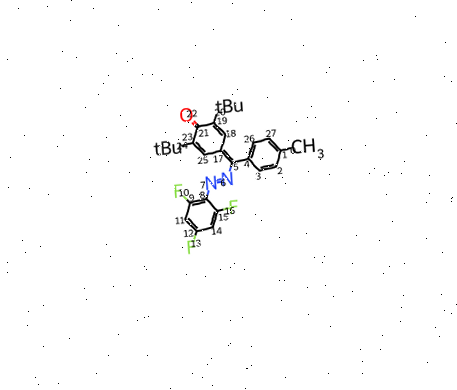 Cc1ccc(C(N=Nc2c(F)cc(F)cc2F)=C2C=C(C(C)(C)C)C(=O)C(C(C)(C)C)=C2)cc1